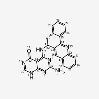 C[C@H](Nc1nc(N)nc2[nH]cnc(=O)c12)c1cc2ccccc2nc1-c1ccccc1